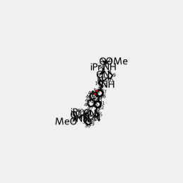 COC(=O)N[C@H](C(=O)N1CCC[C@H]1c1ncc(-c2ccc(-c3ccc(-c4cnc([C@@H]5CCCN5C(=O)[C@@H](NC(=O)OC)C(C)C)[nH]4)c4c3C3(CCC4)CCN(C)C3)cc2)[nH]1)C(C)C